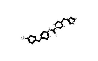 O=C(Oc1ccc(Cc2ccc(C(F)(F)F)cc2)cc1)N1CCC(Cc2ccsc2)CC1